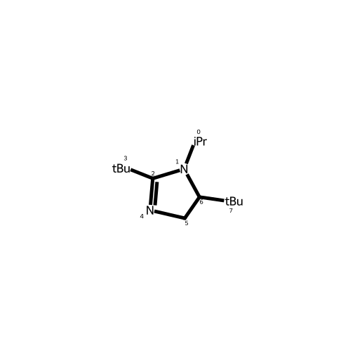 CC(C)N1C(C(C)(C)C)=NCC1C(C)(C)C